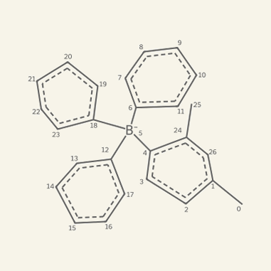 Cc1ccc([B-](c2ccccc2)(c2ccccc2)c2ccccc2)c(C)c1